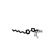 CCCCCCCCC1=CCC([C@H]2CC[C@@](N)(CO)C2)C=C1